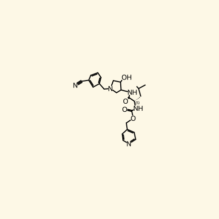 CC(C)C[C@H](NC(=O)OCc1ccncc1)C(=O)NC1CN(Cc2cccc(C#N)c2)CC1O